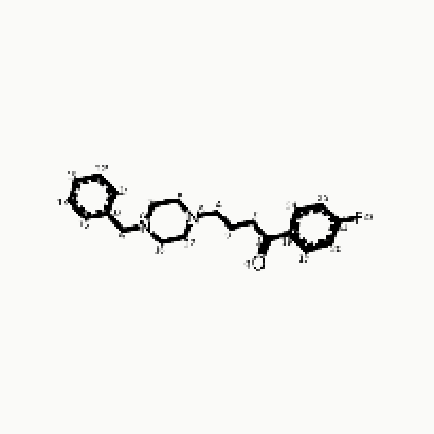 O=C(CCCN1CCN(Cc2ccccc2)CC1)c1ccc(F)cc1